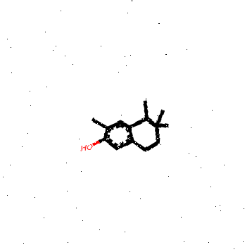 Cc1cc2c(cc1O)CCC(C)(C)C2C